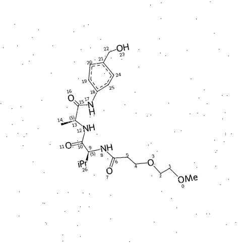 COCCOCCC(=O)N[C@H](C(=O)N[C@@H](C)C(=O)Nc1ccc(CO)cc1)C(C)C